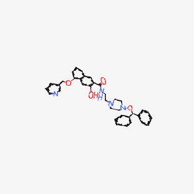 O=C(NCCN1CCN(OC(c2ccccc2)c2ccccc2)CC1)c1cc2cccc(OCc3cccnc3)c2cc1O